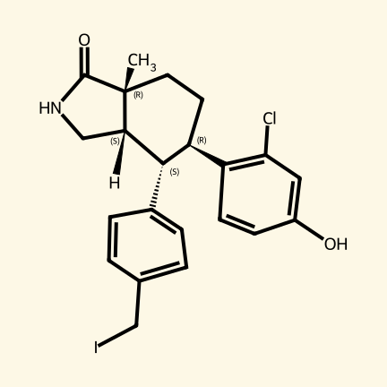 C[C@@]12CC[C@@H](c3ccc(O)cc3Cl)[C@H](c3ccc(CI)cc3)[C@@H]1CNC2=O